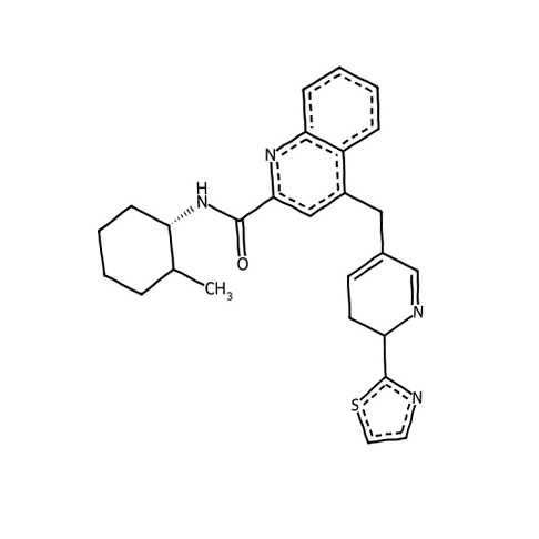 CC1CCCC[C@@H]1NC(=O)c1cc(CC2=CCC(c3nccs3)N=C2)c2ccccc2n1